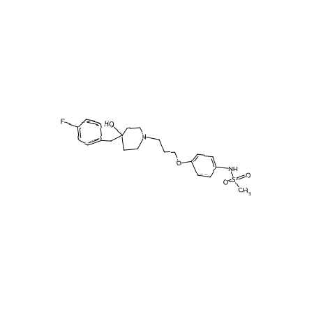 CS(=O)(=O)Nc1ccc(OCCCN2CCC(O)(Cc3ccc(F)cc3)CC2)cc1